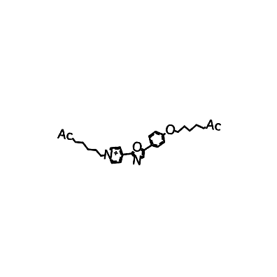 CC(=O)CCCCCOc1ccc(-c2cnc(-c3cc[n+](CCCCCC(C)=O)cc3)o2)cc1